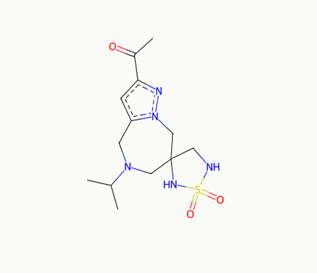 CC(=O)c1cc2n(n1)CC1(CNS(=O)(=O)N1)CN(C(C)C)C2